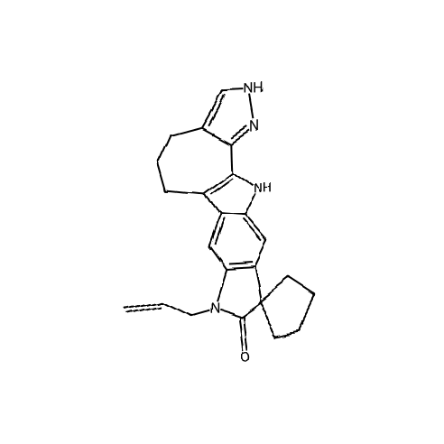 C=CCN1C(=O)C2(CCCC2)c2cc3[nH]c4c(c3cc21)CCCc1c[nH]nc1-4